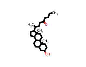 CCCCC(=O)CCC(C)C1CCC2C3CCC4CC(O)CCC4(C)C3CCC12C